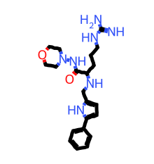 N=C(N)NCCCC(NCc1ccc(-c2ccccc2)[nH]1)C(=O)NN1CCOCC1